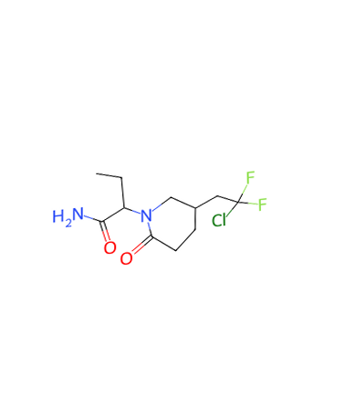 CCC(C(N)=O)N1CC(CC(F)(F)Cl)CCC1=O